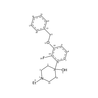 CCN1CCC(O)(c2cccc(OCc3ccccc3)c2F)CC1